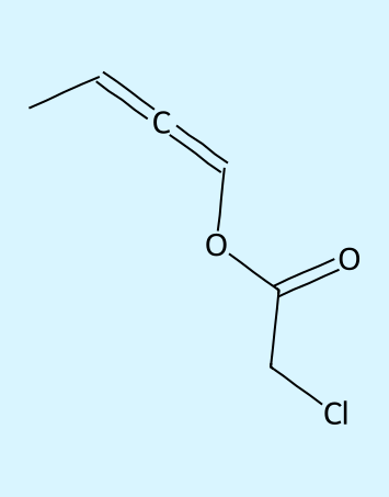 CC=C=COC(=O)CCl